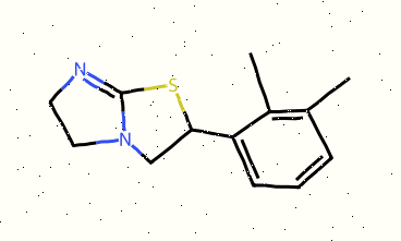 Cc1cccc(C2CN3CCN=C3S2)c1C